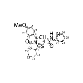 COc1ccc([C@H](C)N2C(=O)C3CCCCC3[C@H]2SCC(=O)Nc2ccccn2)cc1